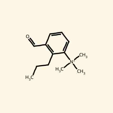 CCCc1c(C=O)cccc1[N+](C)(C)C